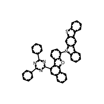 c1ccc(-c2nc(-c3ccccc3)nc(-c3cc4ccccc4c4oc5c(-n6c7ccccc7c7cc8c(cc76)sc6ccccc68)cccc5c34)n2)cc1